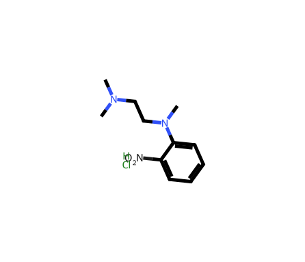 CN(C)CCN(C)c1ccccc1[N+](=O)[O-].Cl